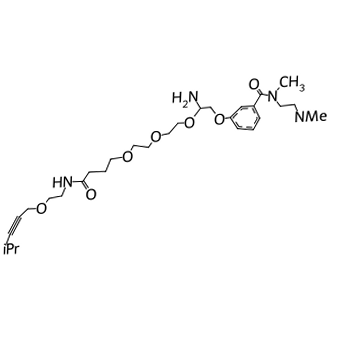 CNCCN(C)C(=O)c1cccc(OCC(N)OCCOCCOCCCC(=O)NCCOCC#CC(C)C)c1